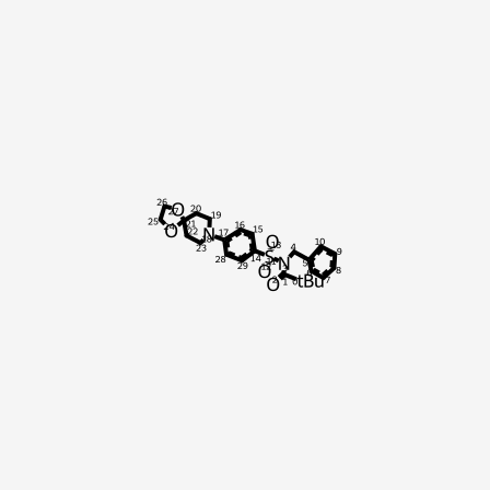 CC(C)(C)C(=O)N(Cc1ccccc1)S(=O)(=O)c1ccc(N2CCC3(CC2)OCCO3)cc1